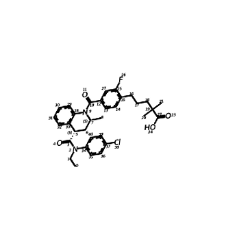 CCN(C(=O)[C@H]1C[C@H](C)N(C(=O)c2ccc(CCCC(C)(C)C(=O)O)c(F)c2)c2ccccc21)c1ccc(Cl)cc1